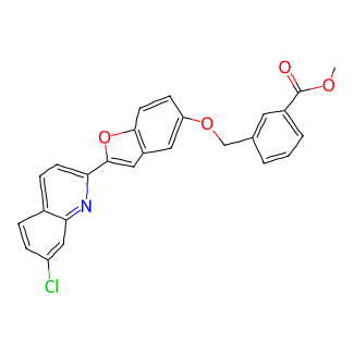 COC(=O)c1cccc(COc2ccc3oc(-c4ccc5ccc(Cl)cc5n4)cc3c2)c1